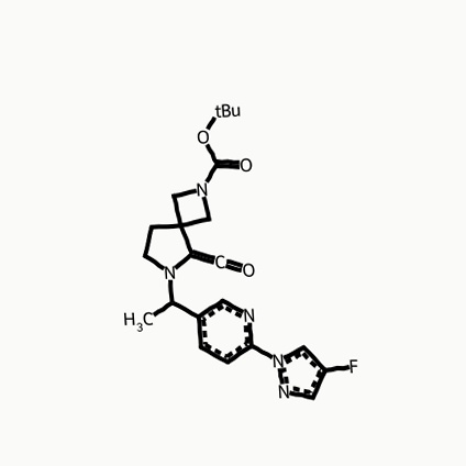 CC(c1ccc(-n2cc(F)cn2)nc1)N1CCC2(CN(C(=O)OC(C)(C)C)C2)C1=C=O